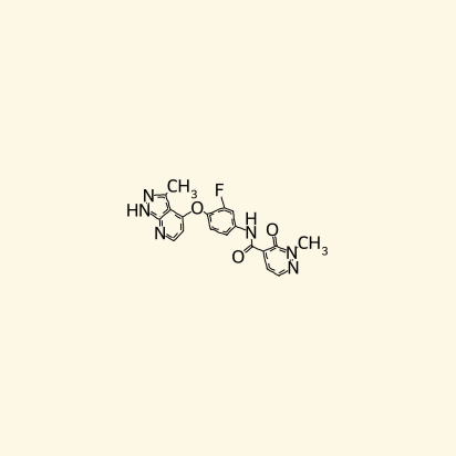 Cc1n[nH]c2nccc(Oc3ccc(NC(=O)c4ccnn(C)c4=O)cc3F)c12